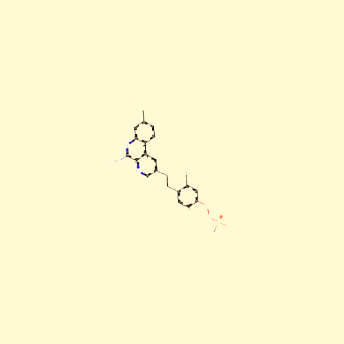 Cc1ccc2c(c1)nc(N)c1ncc(CCc3ccc(OOP(C)(=O)O)cc3C)cc12